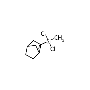 C[Si](Cl)(Cl)C1=C2CCC(C2)C1